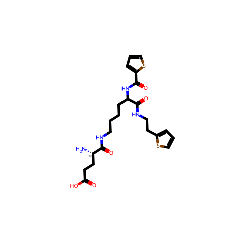 N[C@@H](CCC(=O)O)C(=O)NCCCCC(NC(=O)c1cccs1)C(=O)NCCc1cccs1